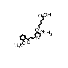 COc1cnc(C=CC(=O)c2ccccc2OC)cc1OCCCCCC(=O)O